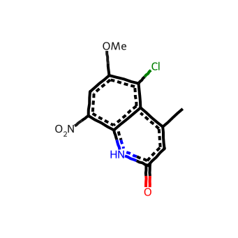 COc1cc([N+](=O)[O-])c2[nH]c(=O)cc(C)c2c1Cl